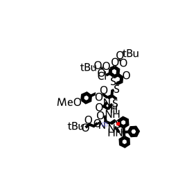 COc1ccc(COC(=O)C2=C(CSc3cc(=O)c4cc(OC(=O)OC(C)(C)C)c(OC(=O)OC(C)(C)C)c(Cl)c4s3)CS[C@H]3C(NC(=O)/C(=N\OCC(=O)OC(C)(C)C)c4csc(NC(c5ccccc5)(c5ccccc5)c5ccccc5)n4)C(=O)N23)cc1